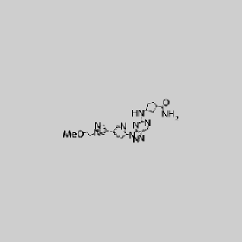 COCCn1cc(-c2ccc(-n3nnc4cnc(N[C@@H]5CC[C@@H](C(N)=O)C5)nc43)nc2)cn1